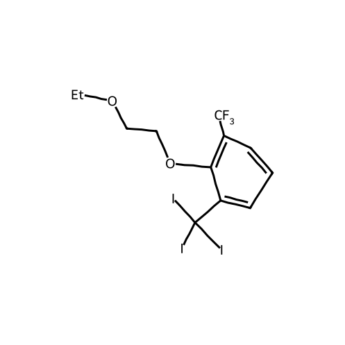 CCOCCOc1c(C(F)(F)F)cccc1C(I)(I)I